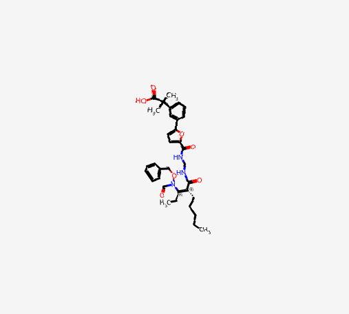 CCCCC[C@@H](C(=O)NCNC(=O)c1ccc(-c2cccc(C(C)(C)C(=O)O)c2)o1)[C@@H](CC)N(C=O)OCc1ccccc1